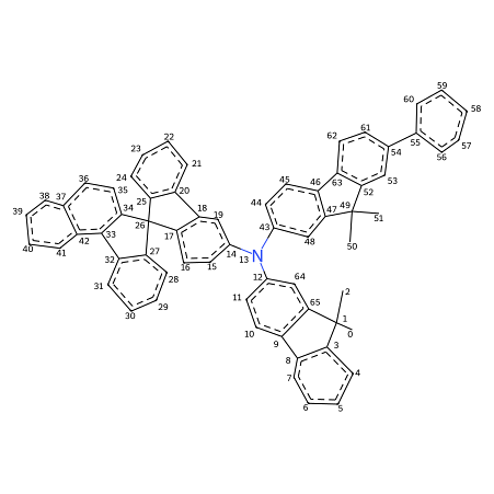 CC1(C)c2ccccc2-c2ccc(N(c3ccc4c(c3)-c3ccccc3C43c4ccccc4-c4c3ccc3ccccc43)c3ccc4c(c3)C(C)(C)c3cc(-c5ccccc5)ccc3-4)cc21